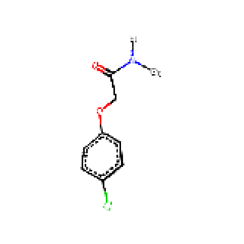 CCN(CC)C(=O)COc1ccc(Cl)cc1